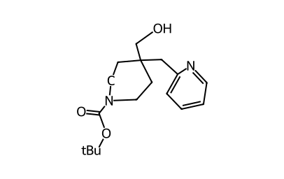 CC(C)(C)OC(=O)N1CCC(CO)(Cc2ccccn2)CC1